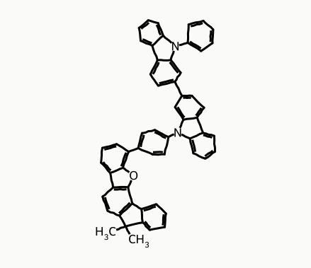 CC1(C)c2ccccc2-c2c1ccc1c2oc2c(-c3ccc(-n4c5ccccc5c5ccc(-c6ccc7c8ccccc8n(-c8ccccc8)c7c6)cc54)cc3)cccc21